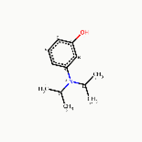 CC(C)N(c1cccc(O)c1)C(C)C